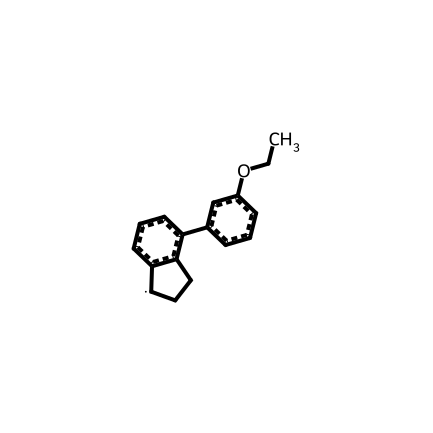 CCOc1cccc(-c2cccc3c2CC[CH]3)c1